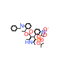 CC1=C(C(=O)OC(C)c2ccccc2N(C)Cc2ccccc2)C(c2cccc([N+](=O)[O-])c2)C(P(=O)(OC(C)C)OC(C)C)=C(C)N1